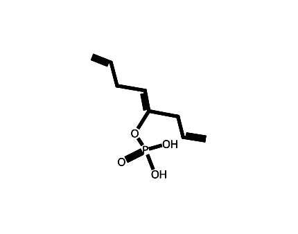 C=CCC=C(CC=C)OP(=O)(O)O